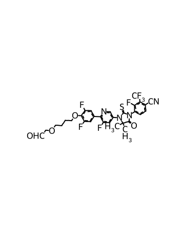 CC1(C)C(=O)N(c2ccc(C#N)c(C(F)(F)F)c2F)C(=S)N1c1cnc(-c2cc(F)c(OCCCCOCC=O)c(F)c2)c(F)c1